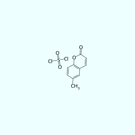 Cc1ccc2oc(=O)ccc2c1.O=S(=O)(Cl)Cl